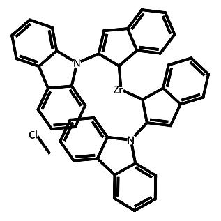 C1=C(n2c3ccccc3c3ccccc32)[CH]([Zr][CH]2C(n3c4ccccc4c4ccccc43)=Cc3ccccc32)c2ccccc21.CCl